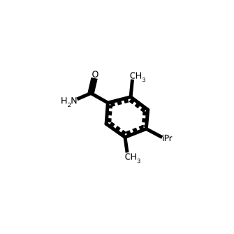 Cc1cc(C(C)C)c(C)cc1C(N)=O